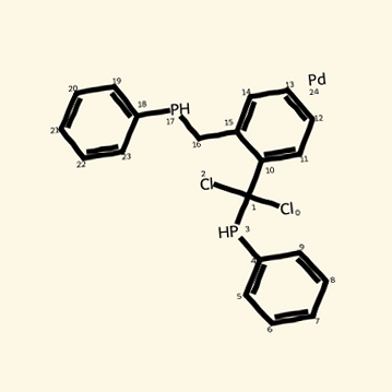 ClC(Cl)(Pc1ccccc1)c1ccccc1CPc1ccccc1.[Pd]